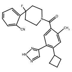 Cc1cc(C2CCC2)c(-c2cn[nH]n2)cc1C(=O)N1CCC(F)(c2ccccc2C#N)CC1